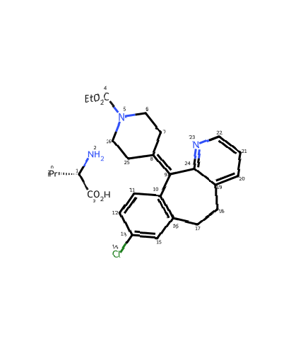 CC(C)[C@H](N)C(=O)O.CCOC(=O)N1CCC(=C2c3ccc(Cl)cc3CCc3cccnc32)CC1